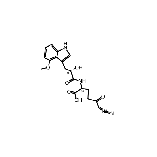 COc1cccc2[nH]cc(C[C@H](O)C(=O)N[C@@H](CCC(=O)C=[N+]=[N-])C(=O)O)c12